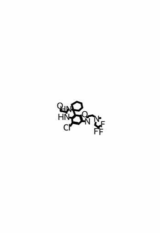 CN(Cc1nc2cc(Cl)c3c(c2o1)C1(CCCCC1)NC(C=O)N3)CC(F)(F)F